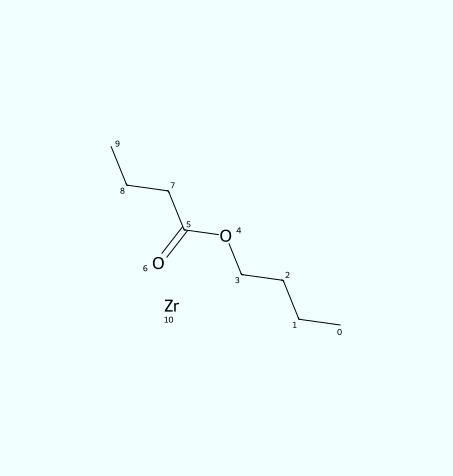 CCCCOC(=O)CCC.[Zr]